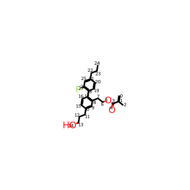 C=C(C)C(=O)OCCc1cc(CCCO)ccc1-c1ccc(CCC)cc1F